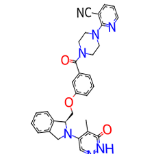 Cc1c(N2Cc3ccccc3[C@H]2COc2cccc(C(=O)N3CCN(c4ncccc4C#N)CC3)c2)cn[nH]c1=O